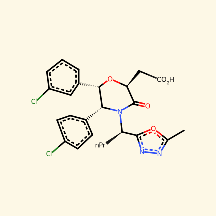 CCC[C@H](c1nnc(C)o1)N1C(=O)[C@H](CC(=O)O)O[C@@H](c2cccc(Cl)c2)[C@H]1c1ccc(Cl)cc1